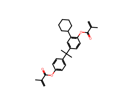 C=C(C)C(=O)Oc1ccc(C(C)(C)c2ccc(OC(=O)C(=C)C)c(C3CCCCC3)c2)cc1